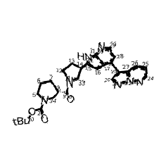 CC(C)(C)OC(=O)N1CCC[C@H](C(=O)N2CCC(c3cc4c(-c5cnn6ncccc56)ccnc4[nH]3)C2)C1